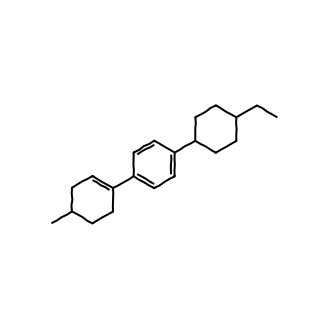 CCC1CCC(c2ccc(C3=CCC(C)CC3)cc2)CC1